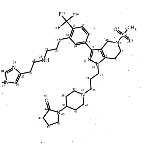 CS(=O)(=O)N1CCc2c(c(-c3ccc(C(F)(F)F)c(SCCNCCc4c[nH]cn4)c3)nn2CCCN2CCC(N3CCCC3=O)CC2)C1